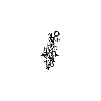 CN(C)C(=O)[C@@H](NC(=O)CNC(=O)C(O)C(CC1CC1)NC(=O)[C@@H]1[C@@H]2C(CN1C(=O)C(NC(=O)OC(C)(C)C)C(C)(C)C)C2(C)C)c1ccccc1